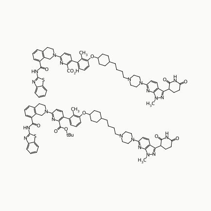 Cc1c(OC2CCC(CCCCN3CCN(c4ccc5c(C6CCC(=O)NC6=O)nn(C)c5n4)CC3)CC2)cccc1-c1ccc(N2CCc3cccc(C(=O)Nc4nc5ccccc5s4)c3C2)nc1C(=O)O.Cc1c(OC2CCC(CCCCN3CCN(c4ccc5c(C6CCC(=O)NC6=O)nn(C)c5n4)CC3)CC2)cccc1-c1ccc(N2CCc3cccc(C(=O)Nc4nc5ccccc5s4)c3C2)nc1C(=O)OC(C)(C)C